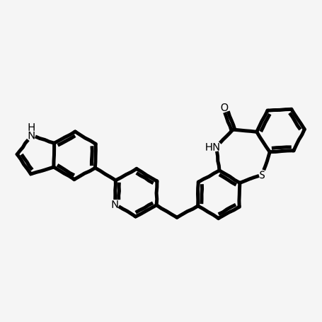 O=C1Nc2cc(Cc3ccc(-c4ccc5[nH]ccc5c4)nc3)ccc2Sc2ccccc21